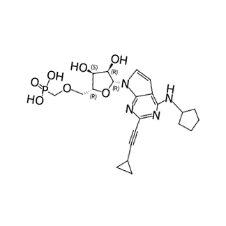 O=P(O)(O)COC[C@H]1O[C@@H](n2ccc3c(NC4CCCC4)nc(C#CC4CC4)nc32)[C@H](O)[C@@H]1O